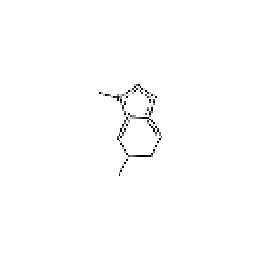 CC1C=c2c(ccn2C)=CC1